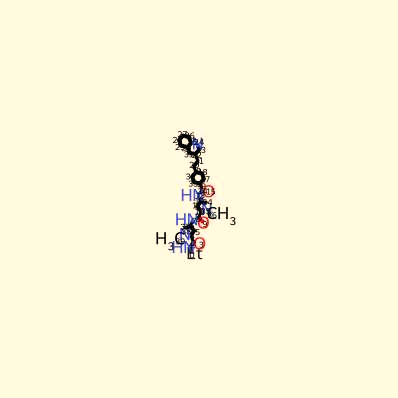 CCNC(=O)c1cc(NC(=O)c2cc(NC(=O)c3ccc(C=Cc4cnc5ccccc5c4)cc3)cn2C)cn1C